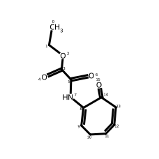 CCOC(=O)C(=O)NC1=CCC=C=CC1=O